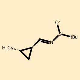 C[C@H]1C[C@@H]1/C=N/[S+]([O-])C(C)(C)C